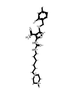 Cc1ccc(COc2nsc(NC(=O)NCCCCCCN3CCN(C)CC3)c2C(N)=O)c(F)c1